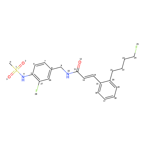 CS(=O)(=O)Nc1ccc(CNC(=O)C=Cc2ccccc2CCCCF)cc1F